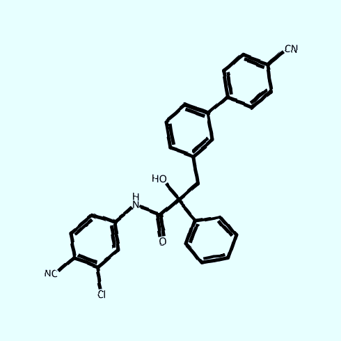 N#Cc1ccc(-c2cccc(CC(O)(C(=O)Nc3ccc(C#N)c(Cl)c3)c3ccccc3)c2)cc1